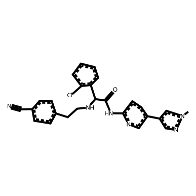 Cn1cc(-c2ccc(NC(=O)C(NCCc3ccc(C#N)cc3)c3ccccc3Cl)nc2)cn1